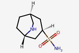 NS(=O)(=O)[C@@H]1C[C@@H]2CC[C@@H](C1)NC2